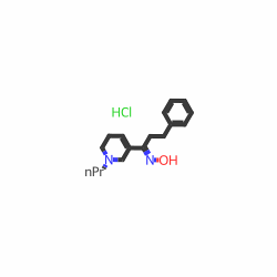 CCCN1CCC=C(/C(CCc2ccccc2)=N/O)C1.Cl